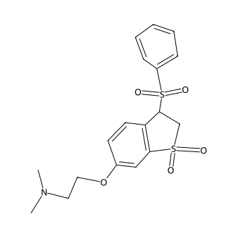 CN(C)CCOc1ccc2c(c1)S(=O)(=O)CC2S(=O)(=O)c1ccccc1